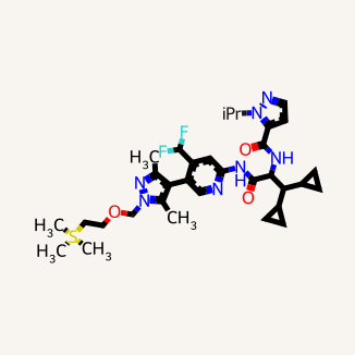 Cc1nn(COCCS(C)(C)C)c(C)c1-c1cnc(NC(=O)C(NC(=O)c2ccnn2C(C)C)C(C2CC2)C2CC2)cc1C(F)F